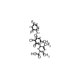 CC1=CN(C)[C@@H](C(=O)O)C[C@H]1n1c(C)cc(OCc2ncc(F)cc2F)c(Cl)c1=O